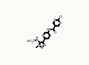 Cn1nnc(-c2ccc(NC(=O)c3cnc(Cl)nc3)cn2)c1NC(=O)O